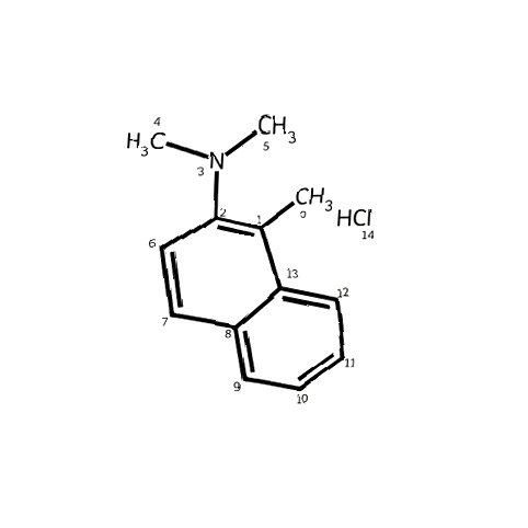 Cc1c(N(C)C)ccc2ccccc12.Cl